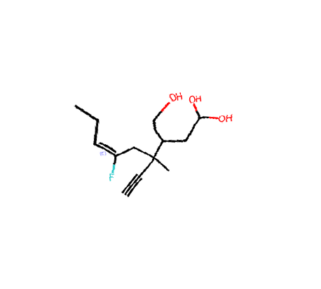 C#CC(C)(C/C(F)=C\CC)C(CO)CC(O)O